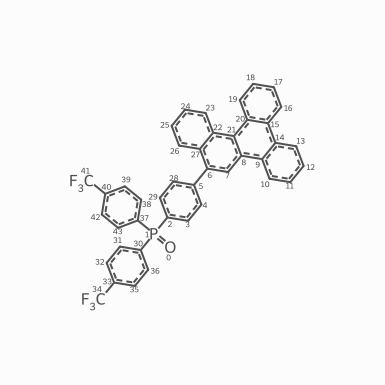 O=P(c1ccc(-c2cc3c4ccccc4c4ccccc4c3c3ccccc23)cc1)(c1ccc(C(F)(F)F)cc1)c1ccc(C(F)(F)F)cc1